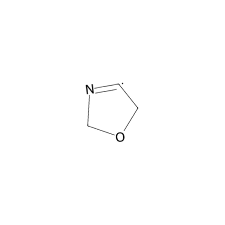 [C]1=NCOC1